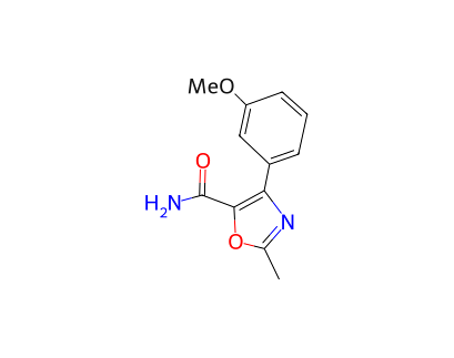 COc1cccc(-c2nc(C)oc2C(N)=O)c1